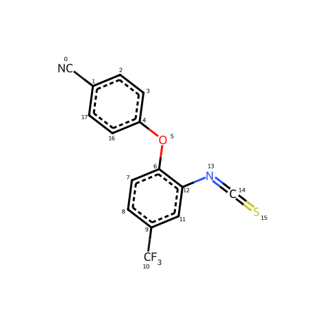 N#Cc1ccc(Oc2ccc(C(F)(F)F)cc2N=C=S)cc1